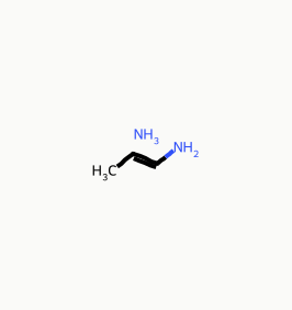 CC=CN.N